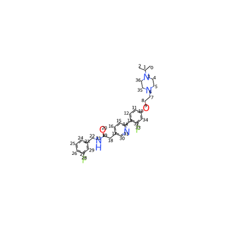 CC(C)N1CCN(CCOc2ccc(-c3ccc(CC(=O)NCc4cccc(F)c4)cn3)c(F)c2)CC1